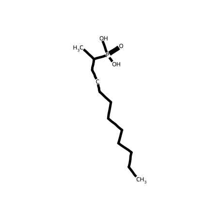 CCCCCCCCCCC(C)P(=O)(O)O